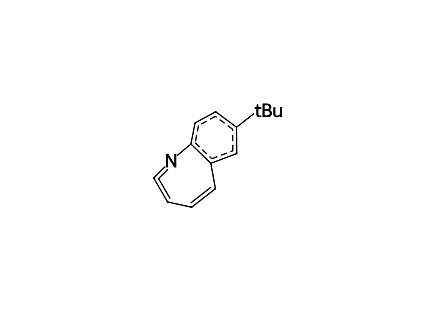 CC(C)(C)c1ccc2c(c1)C=CC=C=N2